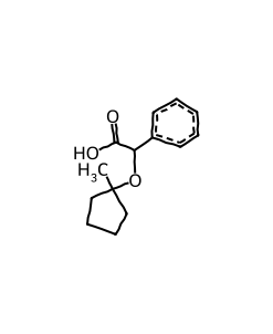 CC1(OC(C(=O)O)c2ccccc2)CCCC1